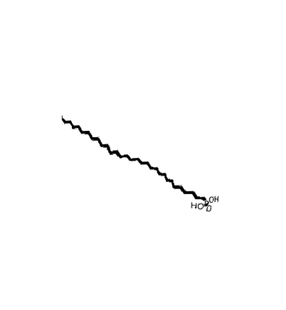 O=P(O)(O)CCCCCCCCCCCCCCCCCCCCCCCCCCCCCCI